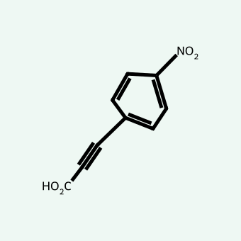 O=C(O)C#Cc1ccc([N+](=O)[O-])cc1